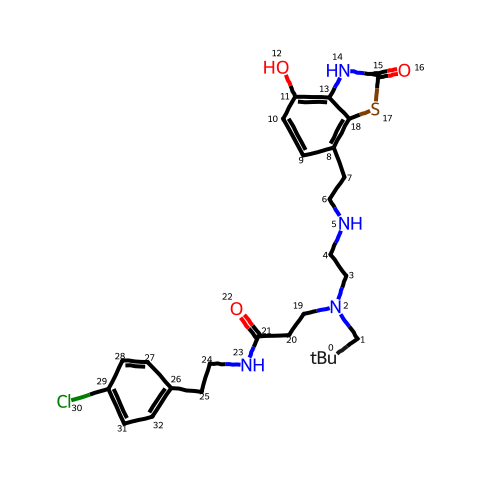 CC(C)(C)CN(CCNCCc1ccc(O)c2[nH]c(=O)sc12)CCC(=O)NCCc1ccc(Cl)cc1